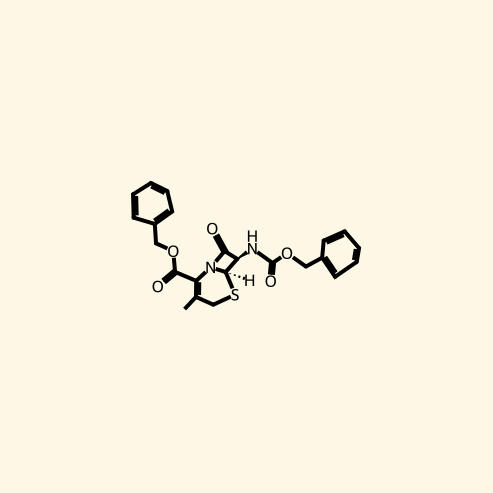 CC1=C(C(=O)OCc2ccccc2)N2C(=O)[C@@H](NC(=O)OCc3ccccc3)[C@H]2SC1